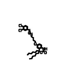 CCCCCCC1(CCCCCC)OC(=O)Nc2ccc(OCCCC=NOSc3ccc(Cl)c(Cl)c3)cc21